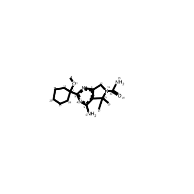 COC1(c2nc(N)c3c(n2)CN(C(N)=O)C3(C)C)CCCCC1